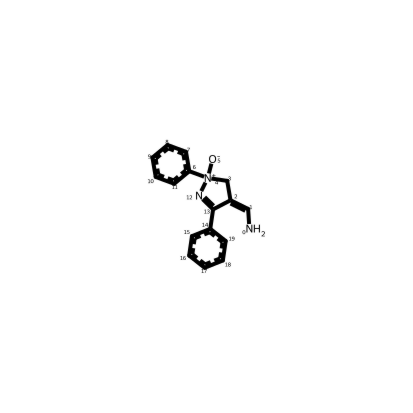 NC=C1C[N+]([O-])(c2ccccc2)N=C1c1ccccc1